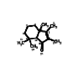 CC1=C(C)C2(C)CCCC(C)(C)C2C1=O